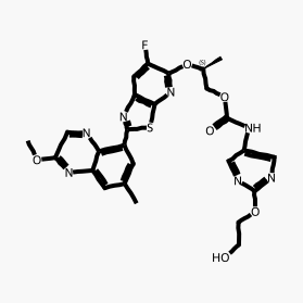 COc1cnc2c(-c3nc4cc(F)c(O[C@@H](C)COC(=O)Nc5cnc(OCCO)nc5)nc4s3)cc(C)cc2n1